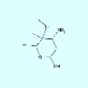 COC1(C)C(N)CC(O)OC1C